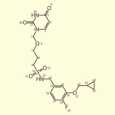 O=c1ccn(COCCCS(=O)(=O)NCc2ccc(F)c(OCC3CC3)c2)c(=O)[nH]1